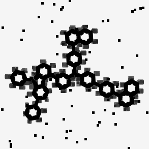 c1ccc(-c2ccc3c4c(-c5cccc(N(c6ccc(-c7ccc(-c8cccc9ccccc89)cc7)cc6)c6ccc(-c7cccc8ccccc78)cc6)c5)cccc4n(-c4ccccc4)c3c2)cc1